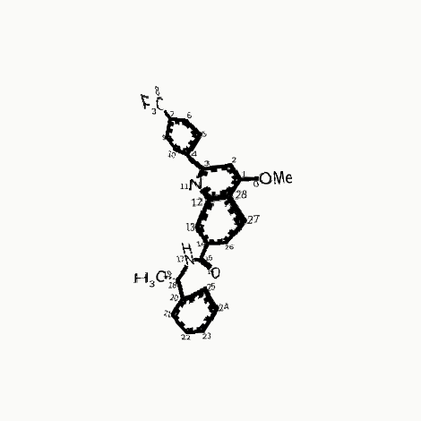 COc1cc(-c2ccc(C(F)(F)F)cc2)nc2cc(C(=O)N[C@@H](C)c3ccccc3)ccc12